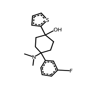 CN(C)C1(c2cccc(F)c2)CCC(O)(c2cccs2)CC1